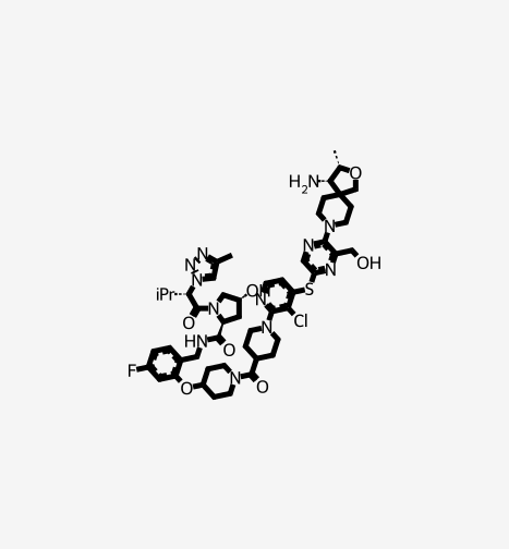 Cc1cn([C@H](C(=O)N2C[C@H](O)C[C@H]2C(=O)NCc2ccc(F)cc2OC2CCN(C(=O)C3CCN(c4nccc(Sc5cnc(N6CCC7(CC6)CO[C@@H](C)[C@H]7N)c(CO)n5)c4Cl)CC3)CC2)C(C)C)nn1